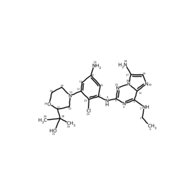 CCNc1nc(Nc2cc(N)cc(N3CCOC(C(C)(C)O)C3)c2Cl)nn2c(N)cnc12